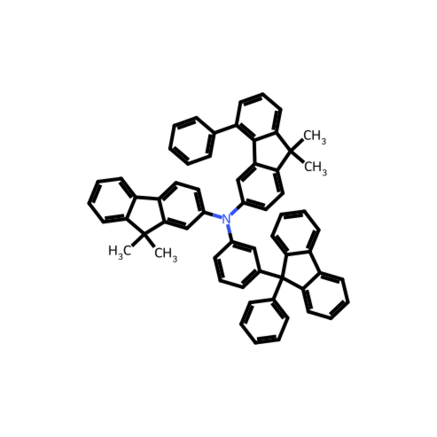 CC1(C)c2ccccc2-c2ccc(N(c3cccc(C4(c5ccccc5)c5ccccc5-c5ccccc54)c3)c3ccc4c(c3)-c3c(-c5ccccc5)cccc3C4(C)C)cc21